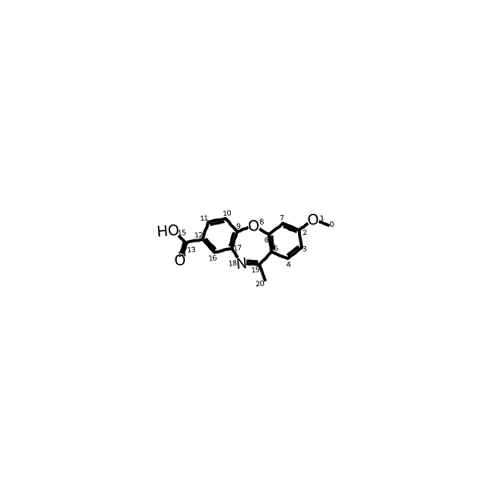 COc1ccc2c(c1)Oc1ccc(C(=O)O)cc1N=C2C